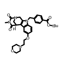 CN1C(=O)[C@H]2CN(Cc3c2c2cc(OCCN4CCOCC4)ccc2n3Cc2ccc(C(=O)OC(C)(C)C)cc2)C1=O